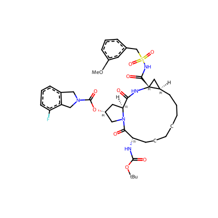 COc1cccc(CS(=O)(=O)NC(=O)[C@@]23C[C@H]2CCCCCCC[C@H](NC(=O)OC(C)(C)C)C(=O)N2C[C@H](OC(=O)N4Cc5cccc(F)c5C4)C[C@H]2C(=O)N3)c1